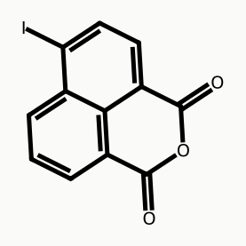 O=C1OC(=O)c2ccc(I)c3cccc1c23